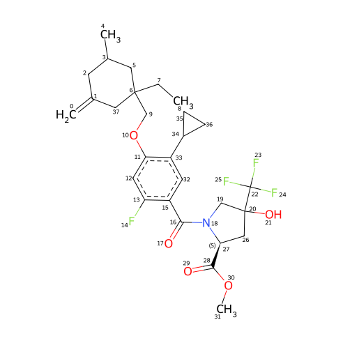 C=C1CC(C)CC(CC)(COc2cc(F)c(C(=O)N3CC(O)(C(F)(F)F)C[C@H]3C(=O)OC)cc2C2CC2)C1